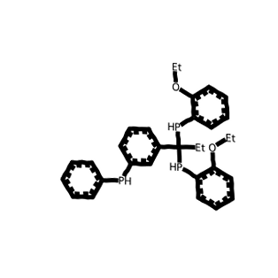 CCOc1ccccc1PC(CC)(Pc1ccccc1OCC)c1cccc(Pc2ccccc2)c1